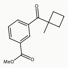 COC(=O)c1cccc(C(=O)C2(C)CCC2)c1